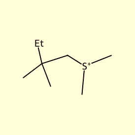 CCC(C)(C)C[S+](C)C